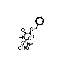 CCC(C)SP(=O)(N(C)C=O)N(C)C(=O)C(=O)OCc1ccccc1